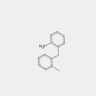 Cc1ccccc1Cc1ccccc1P